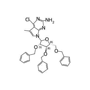 Cc1cn(C2O[C@H](COCc3ccccc3)[C@@H](OCc3ccccc3)[C@@H]2OCc2ccccc2)c2nc(N)nc(Cl)c12